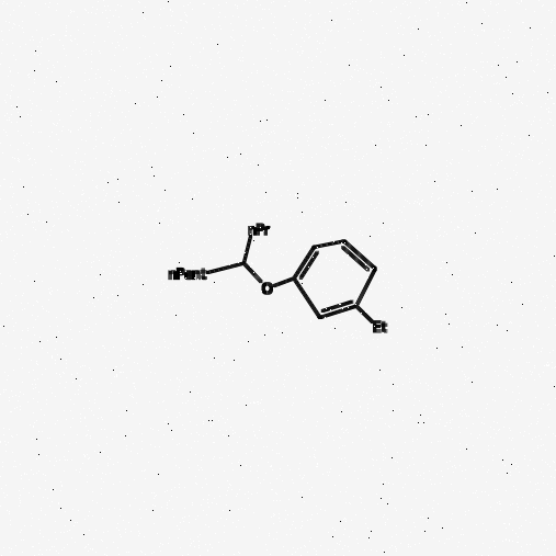 CCCCCC(CCC)Oc1cccc(CC)c1